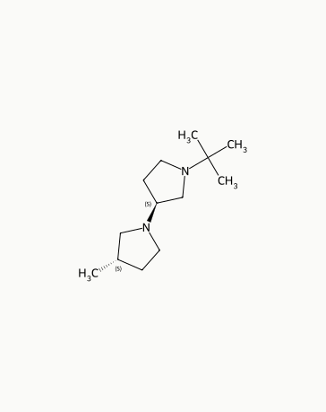 C[C@H]1CCN([C@H]2CCN(C(C)(C)C)C2)C1